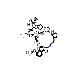 C=C[C@@H]1C[C@]1(NC(=O)[C@@H]1C[C@@H]2CN1C(=O)[C@H](C1CCCC1)NC(=O)O[C@@H]1CCC[C@H]1CC/C=C/Cn1c(nc3c(OC)cccc3c1=O)O2)C(=O)NS(=O)(=O)C1CC1